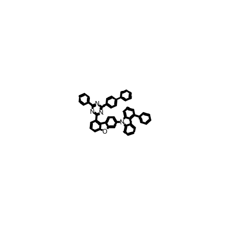 c1ccc(-c2ccc(-c3nc(-c4ccccc4)nc(-c4cccc5oc6cc(-n7c8ccccc8c8c(-c9ccccc9)cccc87)ccc6c45)n3)cc2)cc1